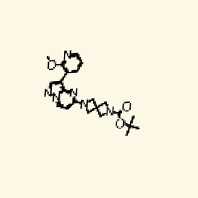 COc1ncccc1-c1cnn2ccc(N3CC4(CN(C(=O)OC(C)(C)C)C4)C3)nc12